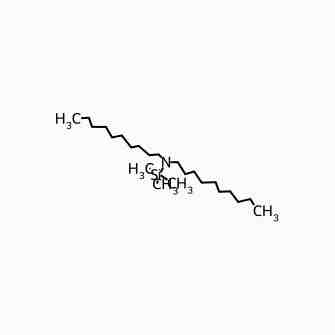 CCCCCCCCCCN(CCCCCCCCCC)[Si](C)(C)C